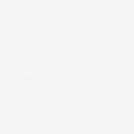 Cc1ccccc1OCC(=O)c1ccc2c(c1)OCCO2